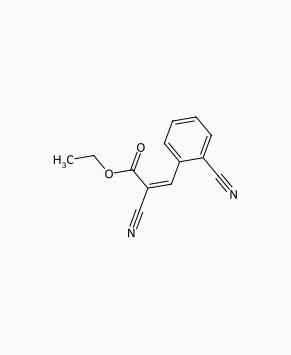 CCOC(=O)C(C#N)=Cc1ccccc1C#N